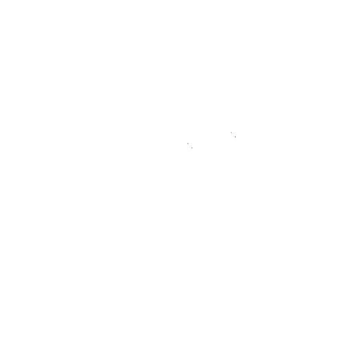 O=C(Cc1ccccc1)Nc1ccccn1